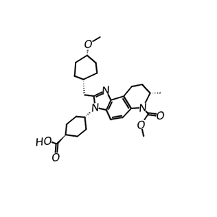 COC(=O)N1c2ccc3c(nc(C[C@H]4CC[C@@H](OC)CC4)n3[C@H]3CC[C@H](C(=O)O)CC3)c2CC[C@@H]1C